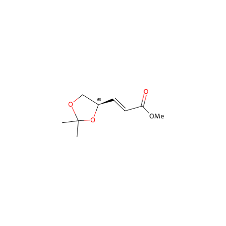 COC(=O)C=C[C@@H]1COC(C)(C)O1